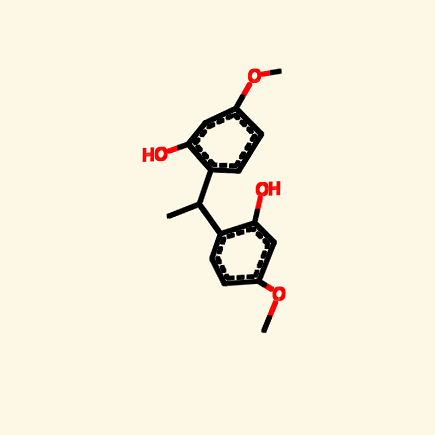 COc1ccc(C(C)c2ccc(OC)cc2O)c(O)c1